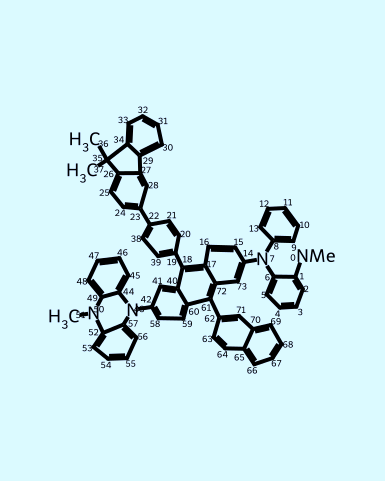 CNc1ccccc1N(c1ccccc1)c1ccc2c(-c3ccc(-c4ccc5c(c4)-c4ccccc4C5(C)C)cc3)c3cc(N4c5ccccc5N(C)c5ccccc54)ccc3c(-c3ccc4ccccc4c3)c2c1